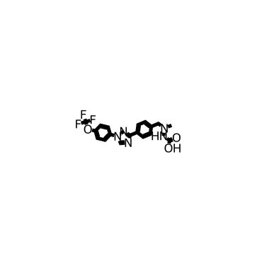 CN(Cc1ccc(-c2ncn(-c3ccc(OC(F)(F)F)cc3)n2)cc1)NC(=O)O